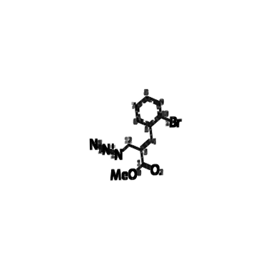 COC(=O)/C(=C/c1ccccc1Br)CN=[N+]=[N-]